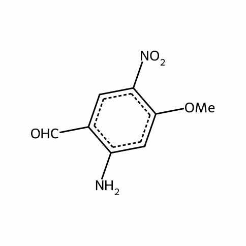 COc1cc(N)c(C=O)cc1[N+](=O)[O-]